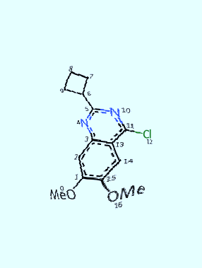 COc1cc2nc(C3CCC3)nc(Cl)c2cc1OC